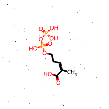 CC(=CCCOP(=O)(O)OP(=O)(O)O)C(=O)O